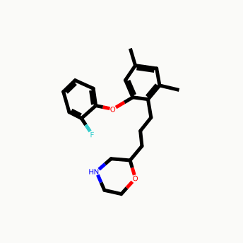 Cc1cc(C)c(CCCC2CNCCO2)c(Oc2ccccc2F)c1